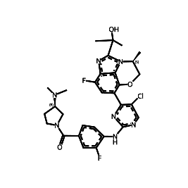 C[C@H]1COc2c(-c3nc(Nc4ccc(C(=O)N5CC[C@@H](N(C)C)C5)cc4F)ncc3Cl)cc(F)c3nc(C(C)(C)O)n1c23